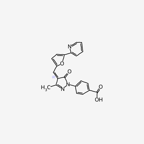 CC1=NN(c2ccc(C(=O)O)cc2)C(=O)/C1=C\c1ccc(-c2ccccn2)o1